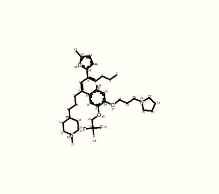 CCC/C=C(/C=C(/CCCC1CCN(C)CC1)c1cc(OCC(F)(F)F)c(OCCCN2CCCC2)cc1C)c1ccc(C)o1